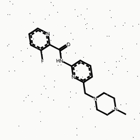 CN1CCN(Cc2cccc(NC(=O)c3ncccc3F)n2)CC1